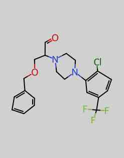 O=CC(COCc1ccccc1)N1CCN(c2cc(C(F)(F)F)ccc2Cl)CC1